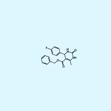 CC1=C(C(=O)OCc2ccccc2)C(c2ccc(F)cc2)NC(=O)N1